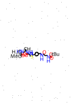 C=C(NC(=O)c1csc(-c2ccc(CNC(=O)CCNC(=O)OC(C)(C)C)cc2)n1)C(=O)NC(=C)C(=O)OC